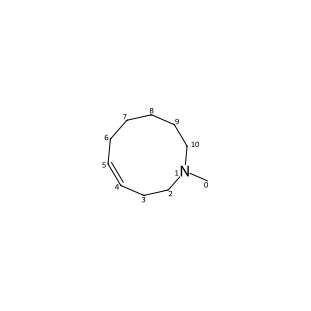 CN1CC/C=C\CCCCC1